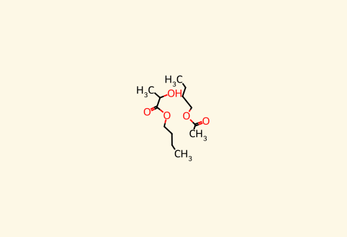 CCCCOC(=O)C(C)O.CCCCOC(C)=O